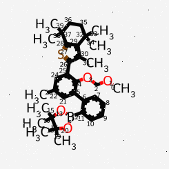 COCOc1c(-c2ccccc2B2OC(C)(C)C(C)(C)O2)cc(C)cc1-c1sc2c(c1C)C(C)(C)CCC2(C)C